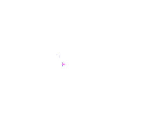 FC(F)(F)c1cccc(N2CC3CCC(C2)N3Cc2ccccc2)c1